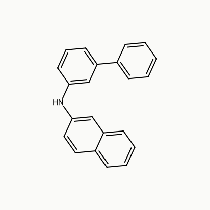 c1ccc(-c2cccc(Nc3ccc4ccccc4c3)c2)cc1